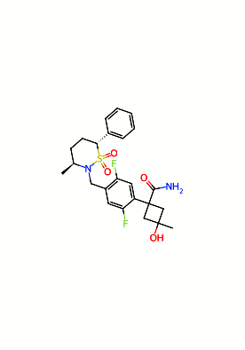 C[C@H]1CC[C@H](c2ccccc2)S(=O)(=O)N1Cc1cc(F)c(C2(C(N)=O)CC(C)(O)C2)cc1F